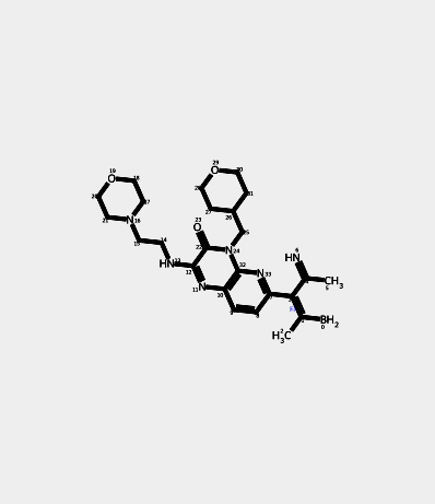 B/C(C)=C(\C(C)=N)c1ccc2nc(NCCN3CCOCC3)c(=O)n(CC3CCOCC3)c2n1